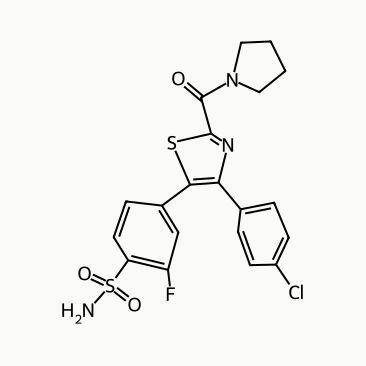 NS(=O)(=O)c1ccc(-c2sc(C(=O)N3CCCC3)nc2-c2ccc(Cl)cc2)cc1F